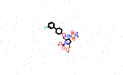 COC[C@@H]1C[C@H](NS(=O)(=O)N(C)C)[C@H](COC2CCC(c3cccc(F)c3)CC2)N1C(=O)OC